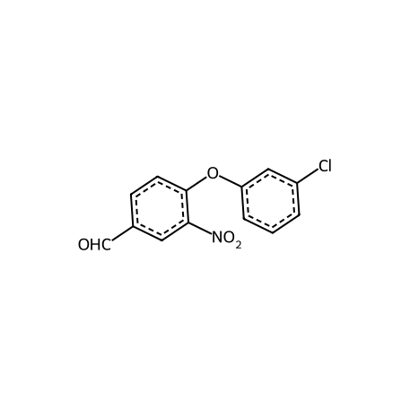 O=Cc1ccc(Oc2cccc(Cl)c2)c([N+](=O)[O-])c1